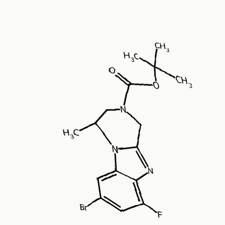 CC1CN(C(=O)OC(C)(C)C)Cc2nc3c(F)cc(Br)cc3n21